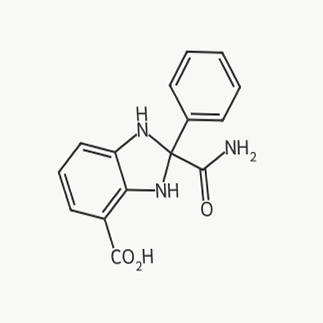 NC(=O)C1(c2ccccc2)Nc2cccc(C(=O)O)c2N1